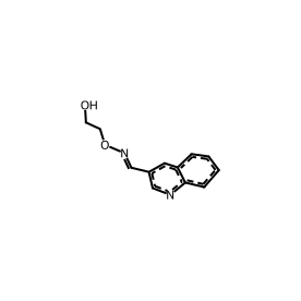 OCCON=Cc1cnc2ccccc2c1